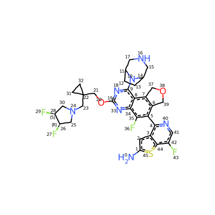 Nc1cc2c(-c3c4c(c5c(N6C7CCC6CNC7)nc(OCC6(CN7C[C@@H](F)[C@@H](F)C7)CC6)nc5c3F)COC4)ncc(F)c2s1